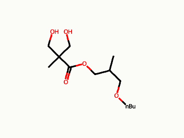 CCCCOCC(C)COC(=O)C(C)(CO)CO